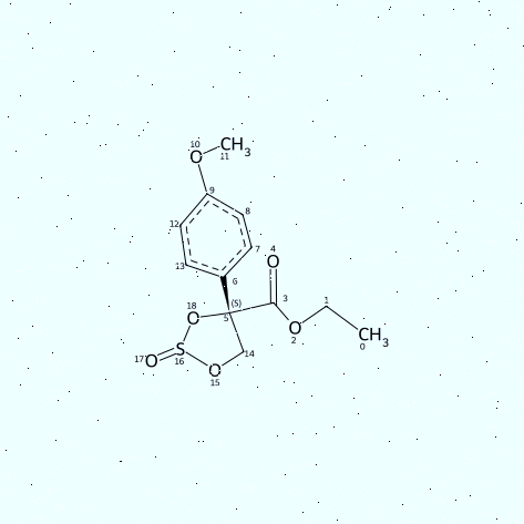 CCOC(=O)[C@]1(c2ccc(OC)cc2)COS(=O)O1